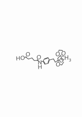 CC1(CC2(CCc3ccc(NC(=O)CCCC(=O)O)cc3)OCCO2)OCCO1